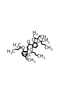 CCCC(C)Oc1ccc(CC)cc1C=CC(=O)c1c(OC(C)CCC)ccc(OC(C)CCC)c1OC(C)CCC